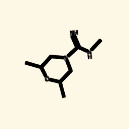 CNC(=N)N1CC(C)OC(C)C1